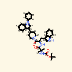 CC(C)(C)OC(=O)NC(C)(C)C(=O)NC(Cc1c[nH]c2ccccc12)C(=O)N1CCC(c2cn(-c3ccccc3)c3ccccc23)CC1